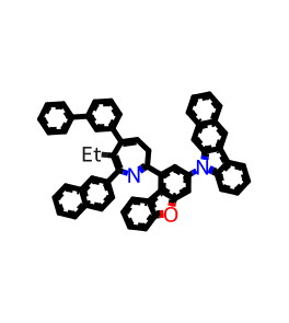 CCC1=C(c2ccc3ccccc3c2)N=C(c2cc(-n3c4ccccc4c4cc5ccccc5cc43)cc3oc4ccccc4c23)CC=C1c1cccc(-c2ccccc2)c1